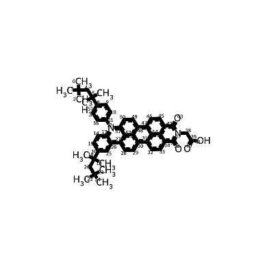 CC(C)(C)CC(C)(C)c1ccc(-n2c3ccc(C(C)(C)CC(C)(C)C)cc3c3ccc4c5ccc6c(=O)n(CC(=O)O)c(=O)c7ccc(c8ccc2c3c48)c5c67)cc1